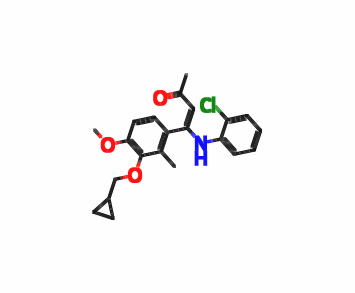 COc1ccc(/C(=C\C(C)=O)Nc2ccccc2Cl)c(C)c1OCC1CC1